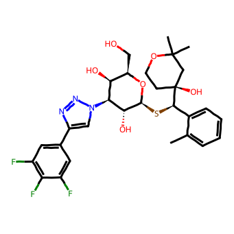 Cc1ccccc1[C@@H](S[C@@H]1O[C@H](CO)[C@H](O)[C@H](n2cc(-c3cc(F)c(F)c(F)c3)nn2)[C@H]1O)[C@]1(O)CCOC(C)(C)C1